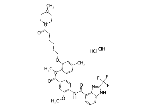 COc1cc(C(=O)N(C)c2ccc(C)cc2OCCCCCC(=O)N2CCN(C)CC2)ccc1NC(=O)c1cccc2[nH]c(C(F)(F)F)nc12.Cl.Cl